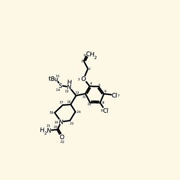 C=CCOc1cc(Cl)c(Cl)cc1C(NSC(C)(C)C)C1CCN(C(N)=O)CC1